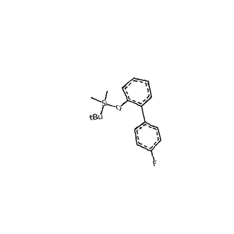 CC(C)(C)[Si](C)(C)Oc1ccccc1-c1ccc(F)cc1